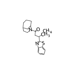 C.CC(CC(=O)N1CCC2CCCC1C2)c1nc2ccccc2s1